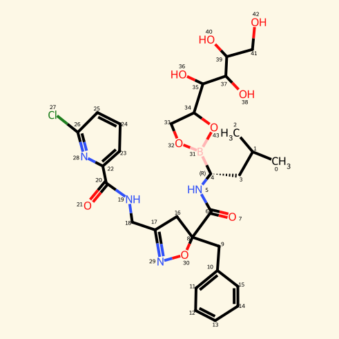 CC(C)C[C@H](NC(=O)C1(Cc2ccccc2)CC(CNC(=O)c2cccc(Cl)n2)=NO1)B1OCC(C(O)C(O)C(O)CO)O1